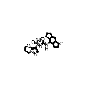 C[C@@H]1CCc2c1cc1c(c2NC(=O)N=[S@@](N)(=O)c2cnn3c2OCCC3)CCC1